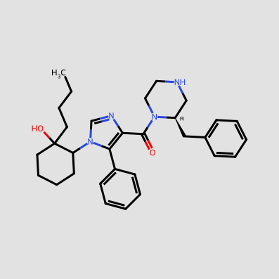 CCCCC1(O)CCCCC1n1cnc(C(=O)N2CCNC[C@H]2Cc2ccccc2)c1-c1ccccc1